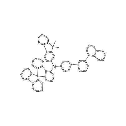 CC1(C)c2ccccc2-c2ccc(N(c3ccc(-c4cccc(-c5cccc6ccccc56)c4)cc3)c3cccc4c3-c3ccccc3C43c4ccccc4-c4ccccc43)cc21